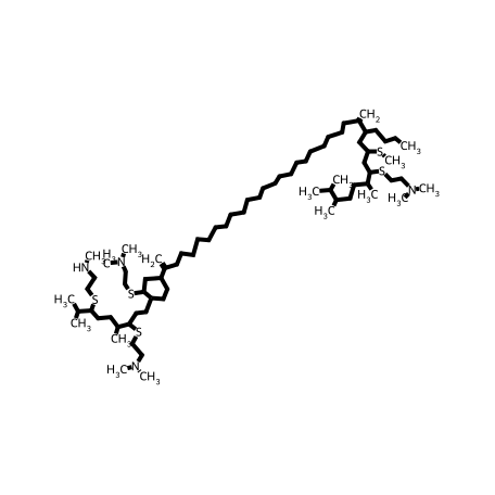 C=C(CCCCCCCCCCCCCCCCCCCCCCC(=C)C1CCC(CCC(SCCN(C)C)C(C)CCC(SCCNC)C(C)C)C(SCCN(C)C)C1)C(CCCC)CC(CC(SCCN(C)C)C(C)CCC(C)C(C)C)SC